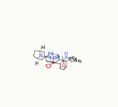 COc1cccc(C(=O)N[C@H]2C[C@H]3CC[C@@H](C2)N3c2ccc(C(=O)NC3CCC3)cn2)c1C